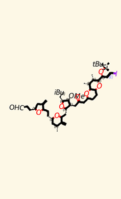 C=C1C[C@H](CCC=O)OC1CC[C@H]1C[C@@H](C)C(=C)C(C[C@@H]2O[C@H](C[C@H](C)CC)[C@H](OC)[C@H]2CC(=O)CC2CCC3O[C@@H]([C@H](/C=C/I)O[Si](C)(C)C(C)(C)C)[C@@H](C)[C@@H](C)C3O2)O1